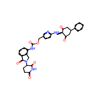 O=C1CCC(N2Cc3c(NC(=O)OCc4ccc(NC=C5C(=O)CC(c6ccccc6)CC5=O)nc4)cccc3C2=O)C(=O)N1